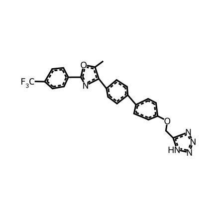 Cc1oc(-c2ccc(C(F)(F)F)cc2)nc1-c1ccc(-c2ccc(OCc3nnn[nH]3)cc2)cc1